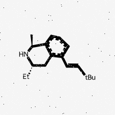 CC[C@H]1Cc2c(/C=C/C(C)(C)C)cccc2[C@H](C)N1